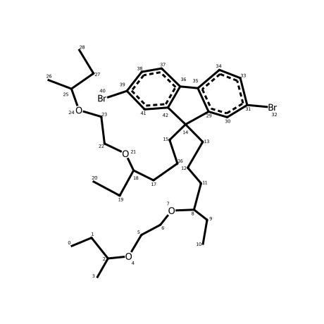 CCC(C)OCCOC(CC)CCCC1(CCCC(CC)OCCOC(C)CC)c2cc(Br)ccc2-c2ccc(Br)cc21